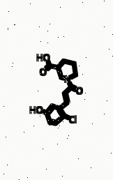 O=C(O)C1CCCN(C(=O)/C=C/c2cc(O)[c]cc2Cl)C1